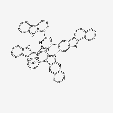 c1ccc2cc3c(cc2c1)c1c2ccccc2ccc1n3-c1cc2sc3c4ccccc4ccc3c2cc1-c1nc(-c2cccc3c2oc2ccccc23)nc(-c2cccc3c2sc2ccccc23)n1